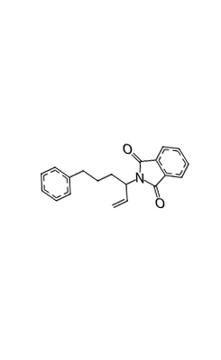 C=CC(CCCc1ccccc1)N1C(=O)c2ccccc2C1=O